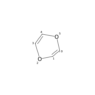 [C]1=COC=CO1